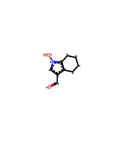 O=Cc1cn(O)c2c1CCCC2